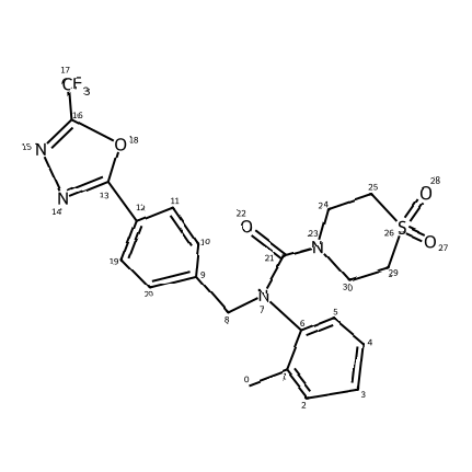 Cc1ccccc1N(Cc1ccc(-c2nnc(C(F)(F)F)o2)cc1)C(=O)N1CCS(=O)(=O)CC1